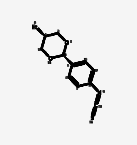 CC[C@H]1CO[C@H](c2ccc(N=C=S)cc2)OC1